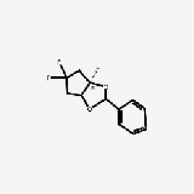 FC1(F)CC2OC(c3ccccc3)O[C@@H]2C1